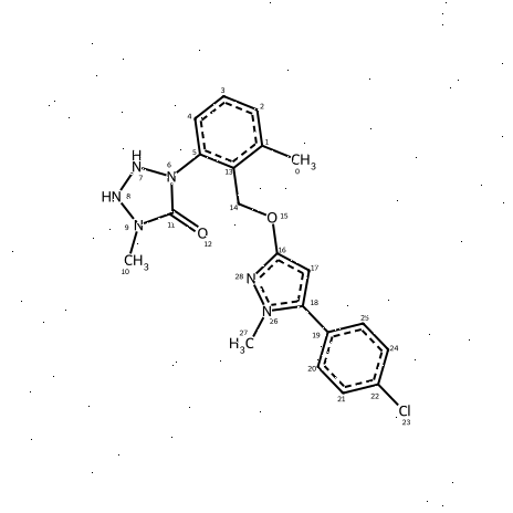 Cc1cccc(N2NNN(C)C2=O)c1COc1cc(-c2ccc(Cl)cc2)n(C)n1